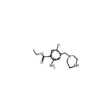 CCOC(=O)c1cc(Cl)c(CN2CCNCC2)cc1N